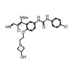 CN/C(=C(/Cl)C=N)c1cc(NC(=O)Nc2ccc(Cl)cc2)ccc1OCCN1CC(O)C1